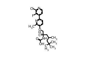 Cc1nc(-c2ccnc(Cl)c2F)ccc1OCC(C)(CC(C)CC(C)(C)C)NC(=O)O